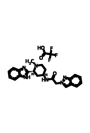 CN1CC[C@@H](NC(=O)Cn2cc3ccccc3n2)C[C@@H]1c1nc2ccccc2[nH]1.O=C(O)C(F)(F)F